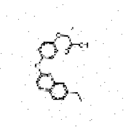 CCc1ccc2ccc(Oc3ccc(O[C@H](C)C(=O)O)cc3)nc2c1